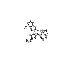 Cc1cccc2cc(CSc3ncnc4nc[nH]c34)c(-c3cnn(C)c3)nc12